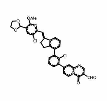 COc1nc(C=C2CCc3c2cccc3-c2cccc(-c3ccn4c(=O)c(C=O)cnc4c3)c2Cl)c(Cl)cc1C1OCCO1